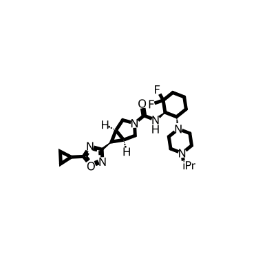 CC(C)N1CCN([C@H]2CCCC(F)(F)[C@@H]2NC(=O)N2C[C@@H]3[C@H](C2)[C@@H]3c2noc(C3CC3)n2)CC1